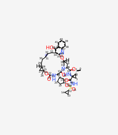 C=C[C@@H]1C[C@]1(NC(=O)[C@@H]1C[C@@H]2CN1C(=O)[C@H](C1CCCC1)NC(=O)O[C@]1(C)C[C@H]1CC/C=C/Cc1c(nc3ccccc3c1O)O2)C(=O)NS(=O)(=O)C1CC1